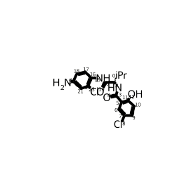 CC(C)[C@H](NC(=O)c1cc(Cl)ccc1O)C(=O)Nc1ccc(N)cc1Cl